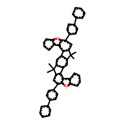 CC1(C)c2cc3c(cc2-c2c1cc(-c1ccc(-c4ccccc4)cc1)c1oc4ccccc4c21)C(C)(C)c1cc(-c2ccc(-c4ccccc4)cc2)c2oc4ccccc4c2c1-3